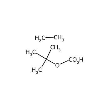 CC.CC(C)(C)OC(=O)O